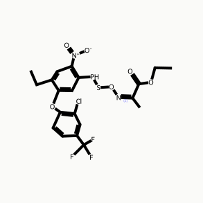 CCOC(=O)/C(C)=N\OSPc1cc(Oc2ccc(C(F)(F)F)cc2Cl)c(CC)cc1[N+](=O)[O-]